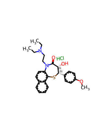 CCN(CC)CCN1C(=O)[C@H](O)[C@H](c2ccc(OC)cc2)Sc2c1ccc1ccccc21.Cl